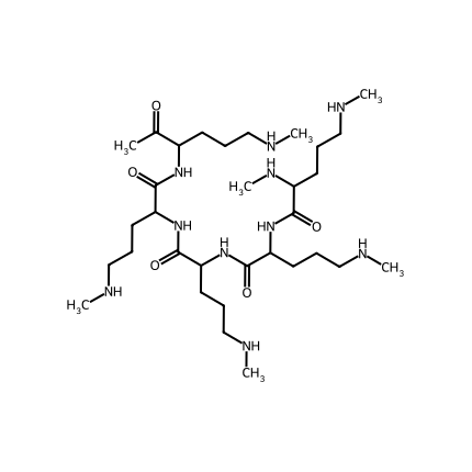 CNCCCC(NC(=O)C(CCCNC)NC(=O)C(CCCNC)NC(=O)C(CCCNC)NC(=O)C(CCCNC)NC)C(C)=O